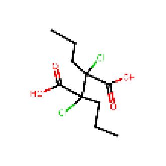 CCCC(Cl)(C(=O)O)C(Cl)(CCC)C(=O)O